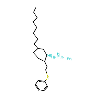 CCCCCCCCC1CCC(CCSc2ccccc2)CC1.F.F.F.F.F